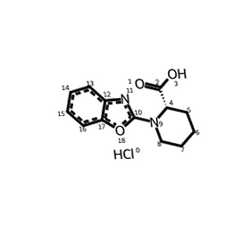 Cl.O=C(O)[C@@H]1CCCCN1c1nc2ccccc2o1